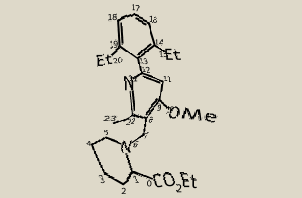 CCOC(=O)C1CCCCN1Cc1c(OC)cc(-c2c(CC)cccc2CC)nc1C